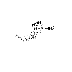 CC(=O)NCCC(=O)N[C@@H](Cc1cnc[nH]1)C(=O)O[C@H]1CC[C@]2(C)C3=C(CC[C@H]2C1(C)C)[C@]1(C)CC[C@H]([C@H](C)CCC=C(C)C)[C@@]1(C)CC3